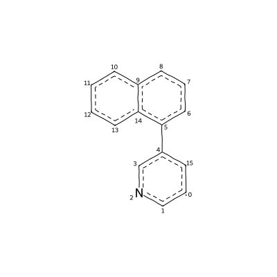 [c]1cncc(-c2cccc3ccccc23)c1